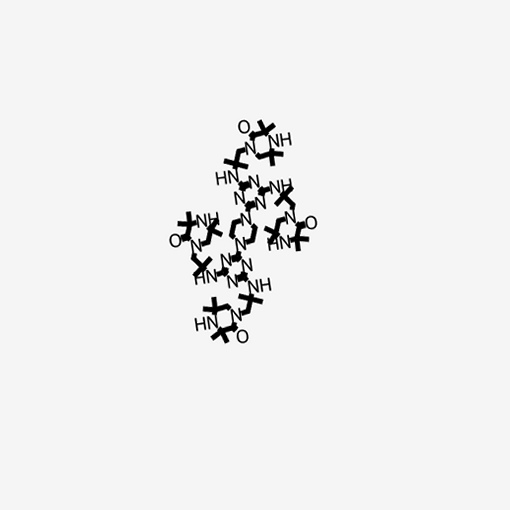 CC(C)(CN1CC(C)(C)NC(C)(C)C1=O)Nc1nc(NC(C)(C)CN2CC(C)(C)NC(C)(C)C2=O)nc(N2CCN(c3nc(NC(C)(C)CN4CC(C)(C)NC(C)(C)C4=O)nc(NC(C)(C)CN4CC(C)(C)NC(C)(C)C4=O)n3)CC2)n1